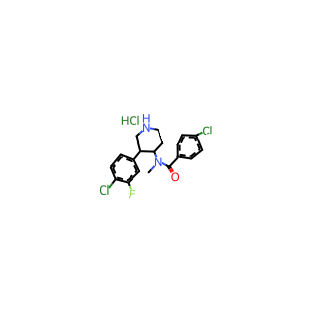 CN(C(=O)c1ccc(Cl)cc1)C1CCNCC1c1ccc(Cl)c(F)c1.Cl